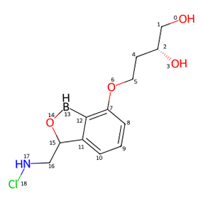 OC[C@H](O)CCOc1cccc2c1BOC2CNCl